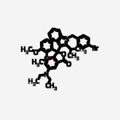 CCN(CC)c1ccc2c(c1)C(=O)OC2(c1cccc(OC)c1OC)c1c(C(C)C)n(Cc2ccc(Br)cc2)c2ccccc12